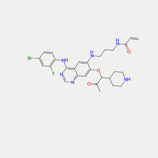 C=CC(=O)NCCCNc1cc2c(Nc3ccc(Br)cc3F)ncnc2cc1OC(C(C)=O)C1CCNCC1